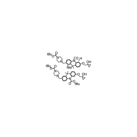 CC(C)(C)OC(=O)N1CCN(Cc2ccc3c(c2)C(C)(C)c2ccc(OCC4(O)CC4)cc2N3C(=O)OC(C)(C)C)CC1.CC(C)(C)OC(=O)N1CCN(Cc2ccc3c(c2C(C)(C)C)C(C)(C)c2ccc(OCC4(O)CC4)cc2N3C(=O)O)CC1